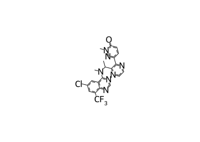 CC(c1nccnc1-c1ccc(=O)n(C)n1)N(C)c1ncnc2c(C(F)(F)F)cc(Cl)cc12